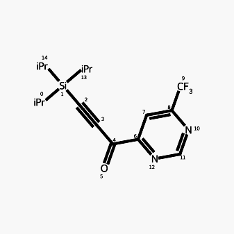 CC(C)[Si](C#CC(=O)c1cc(C(F)(F)F)ncn1)(C(C)C)C(C)C